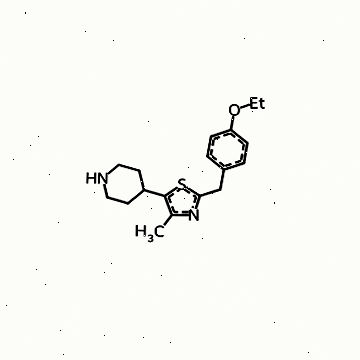 CCOc1ccc(Cc2nc(C)c(C3CCNCC3)s2)cc1